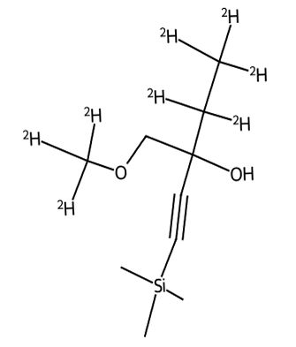 [2H]C([2H])([2H])OCC(O)(C#C[Si](C)(C)C)C([2H])([2H])C([2H])([2H])[2H]